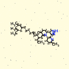 C=c1ccc(-c2c[nH]nc2-c2cccc(C)n2)n/c1=C/C(=C\C)CCCCCCC/C(=C/C(C)C)CCC